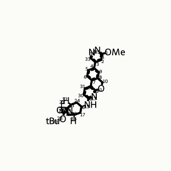 COc1cc(-c2ccc3c(c2)COc2nc(N[C@H]4C[C@@H]5CC(F)(F)[C@H](C4)N5C(=O)OC(C)(C)C)ccc2-3)cnn1